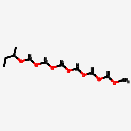 C[CH2][Al]([CH3])[O][AlH][O][AlH][O][AlH][O][AlH][O][AlH][O][AlH][O][AlH2]